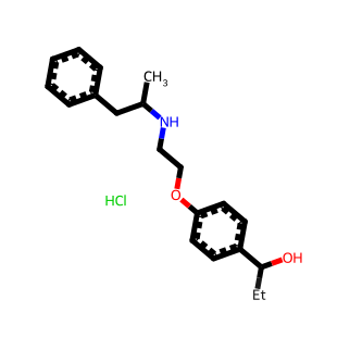 CCC(O)c1ccc(OCCNC(C)Cc2ccccc2)cc1.Cl